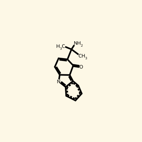 CC(C)(N)C1=CC=C2N=c3ccccc3=C2C1=O